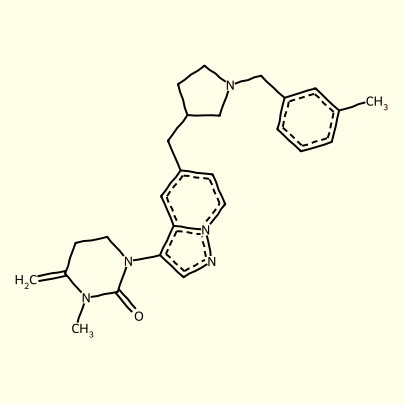 C=C1CCN(c2cnn3ccc(CC4CCN(Cc5cccc(C)c5)C4)cc23)C(=O)N1C